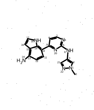 Cn1cc(Nc2nccc(-c3ccc(N)c4cc[nH]c34)n2)cn1